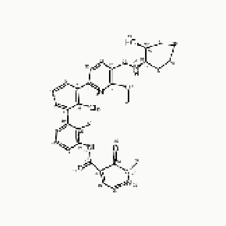 COc1nc(-c2cccc(-c3cccc(NC(=O)c4ccnn(C)c4=O)c3C)c2Cl)ccc1CN[C@@H]1CCCC[C@@H]1O